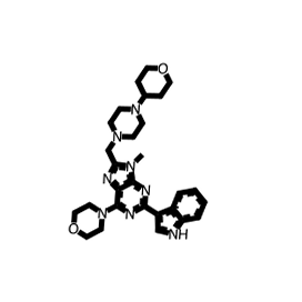 Cn1c(CN2CCN(C3CCOCC3)CC2)nc2c(N3CCOCC3)nc(-c3c[nH]c4ccccc34)nc21